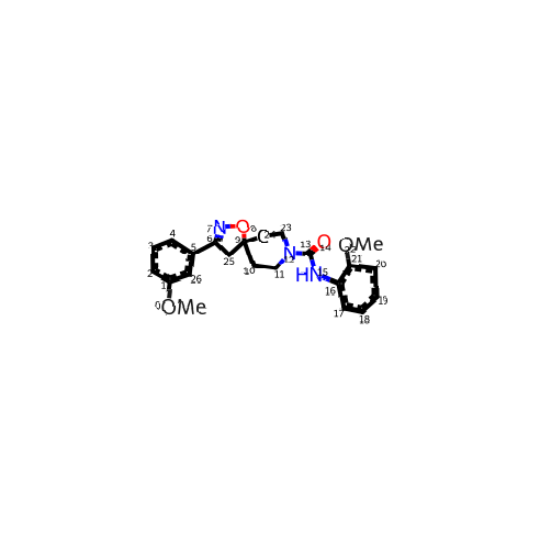 COc1cccc(C2=NOC3(CCN(C(=O)Nc4ccccc4OC)CC3)C2)c1